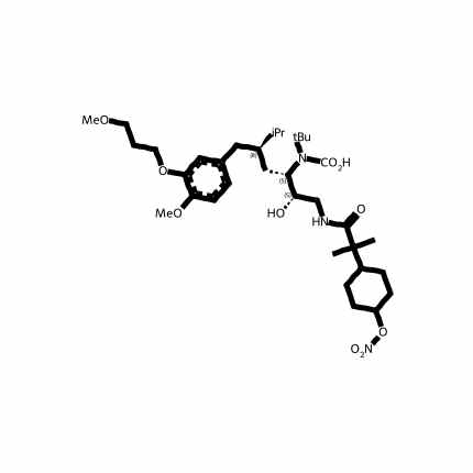 COCCCOc1cc(C[C@H](C[C@@H]([C@@H](O)CNC(=O)C(C)(C)C2CCC(O[N+](=O)[O-])CC2)N(C(=O)O)C(C)(C)C)C(C)C)ccc1OC